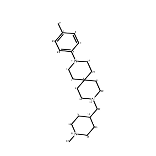 Cc1ccc(N2CCC3(CCN(CC4CCN(C)CC4)CC3)CC2)cc1